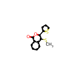 CSc1c(-c2cccs2)oc(=O)c2ccccc12